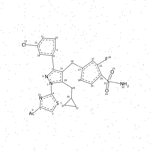 CC(=O)c1csc(-n2nc(-c3cccc(Cl)c3)c(Cc3ccc(S(N)(=O)=O)c(F)c3)c2CC2CC2)n1